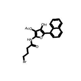 CC(=O)Oc1c(NC(=O)CCCBr)oc(-c2cccc3ccccc23)c1O